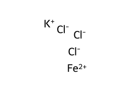 [Cl-].[Cl-].[Cl-].[Fe+2].[K+]